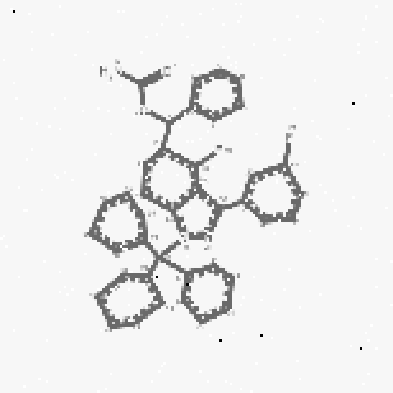 NC(=O)OC(c1ccccc1)c1ccc2c(c(-c3cccc(F)c3)nn2C(c2ccccc2)(c2ccccc2)c2ccccc2)c1F